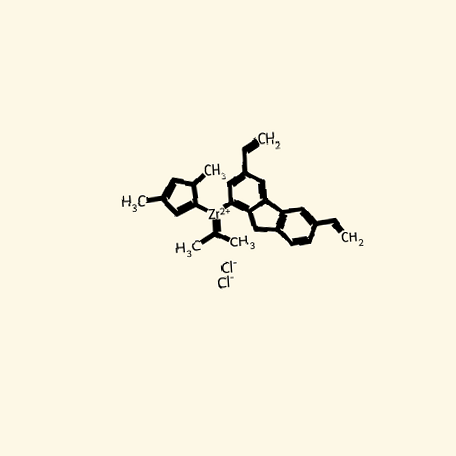 C=Cc1ccc2c(c1)-c1cc(C=C)c[c]([Zr+2]([C]3=CC(C)=CC3C)=[C](C)C)c1C2.[Cl-].[Cl-]